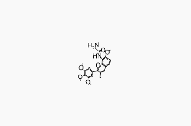 COc1ccc(C=C(C)C(=O)c2cc(OC)c(OC)c(OC)c2)cc1NC(=O)CN